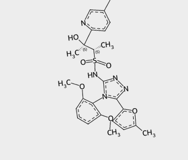 COc1cccc(OC)c1-n1c(NS(=O)(=O)[C@@H](C)[C@@](C)(O)c2ccc(C#N)cn2)nnc1-c1ccc(C)o1